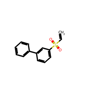 C=CS(=O)(=O)c1cccc(-c2[c]cccc2)c1